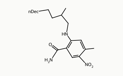 CCCCCCCCCCCCC(C)CNc1cc(C)c([N+](=O)[O-])cc1C(N)=O